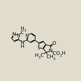 Cn1nccc1Nc1cc(-c2cc3c(s2)C(C)(C)N(C(=O)O)C3=O)ccn1